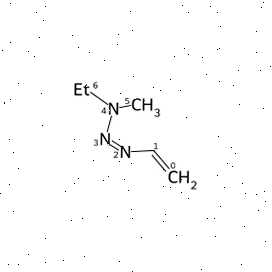 C=C/N=N\N(C)CC